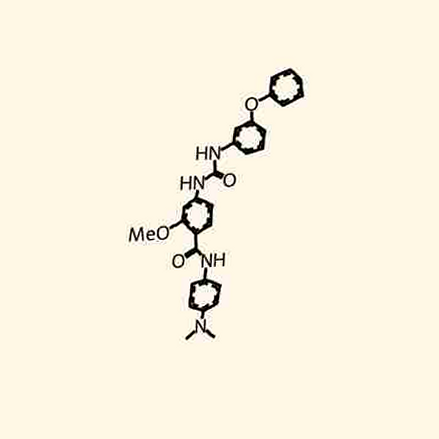 COc1cc(NC(=O)Nc2cccc(Oc3ccccc3)c2)ccc1C(=O)Nc1ccc(N(C)C)cc1